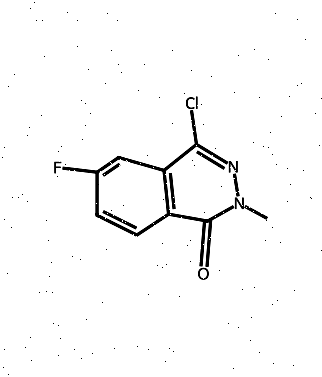 Cn1nc(Cl)c2cc(F)ccc2c1=O